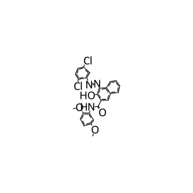 COc1ccc(OC)c(NC(=O)c2cc3ccccc3c(N=Nc3cc(Cl)ccc3Cl)c2O)c1